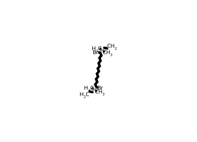 C=CC[N+](C)(C)C(Br)CCCCCCCCCCCCC(Br)[N+](C)(C)CC=C